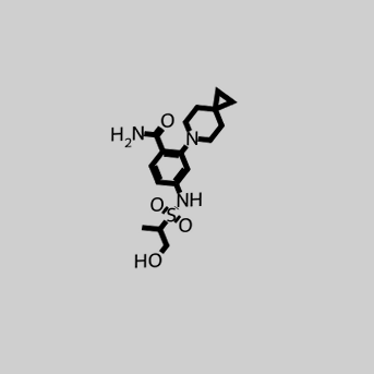 CC(CO)S(=O)(=O)Nc1ccc(C(N)=O)c(N2CCC3(CC2)CC3)c1